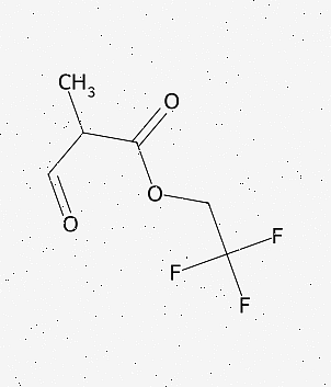 CC(C=O)C(=O)OCC(F)(F)F